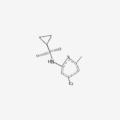 Cc1cc(Cl)cc(NS(=O)(=O)C2CC2)n1